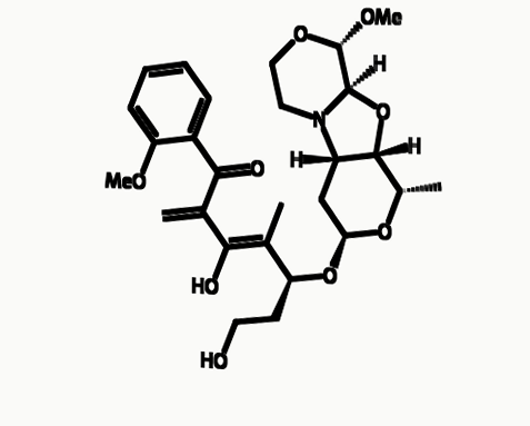 C=C(C(=O)c1ccccc1OC)/C(O)=C(\C)[C@H](CCO)O[C@H]1C[C@H]2[C@H](O[C@@H]3[C@@H](OC)OCCN32)[C@H](C)O1